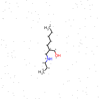 CCCCCC(CO)CNCCC